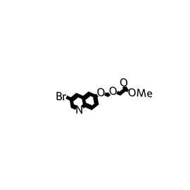 COC(=O)COCOc1ccc2ncc(Br)cc2c1